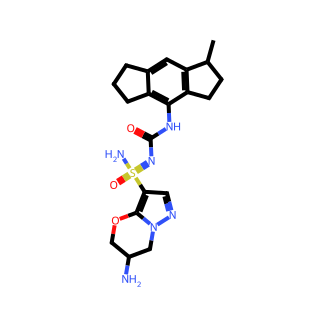 CC1CCc2c1cc1c(c2NC(=O)N=S(N)(=O)c2cnn3c2OCC(N)C3)CCC1